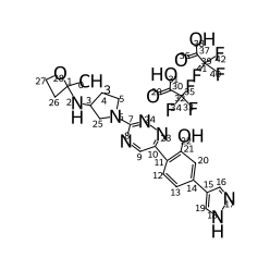 CC1(NC2CCN(c3ncc(-c4ccc(-c5cn[nH]c5)cc4O)nn3)C2)CCO1.O=C(O)C(F)(F)F.O=C(O)C(F)(F)F